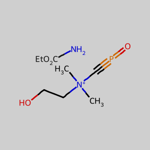 CCOC(N)=O.C[N+](C)(C#P=O)CCO